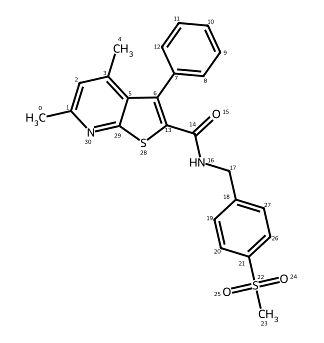 Cc1cc(C)c2c(-c3ccccc3)c(C(=O)NCc3ccc(S(C)(=O)=O)cc3)sc2n1